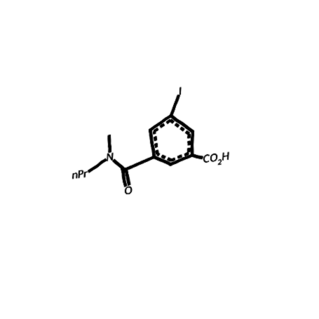 CCCN(C)C(=O)c1cc(I)cc(C(=O)O)c1